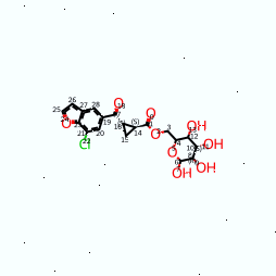 O=C(OCC1OC(O)[C@H](O)[C@@H](O)C1O)[C@H]1C[C@@H]1C(=O)c1cc(Cl)c2occc2c1